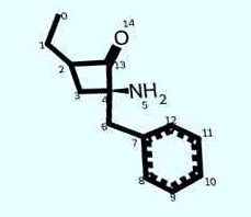 CCC1C[C@@](N)(Cc2ccccc2)C1=O